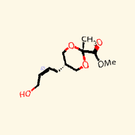 COC(=O)[C@]1(C)OC[C@H](C/C=C\CO)CO1